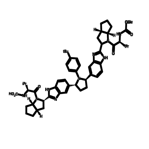 COC(=O)N[C@H](C(=O)N1C(c2nc3cc([C@H]4CC[C@H](c5ccc6[nH]c([C@@H]7C[C@@H]8CCC[C@@H]8N7C(=O)[C@@H](NC(=O)O)C(C)C)nc6c5)N4c4ccc(C(C)(C)C)cc4)ccc3[nH]2)C[C@@H]2CCC[C@@H]21)C(C)C